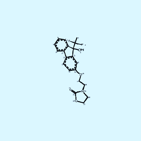 CC(F)(F)C1(O)c2ccccc2-c2ccc(OCCN3CCOC3=O)cc21